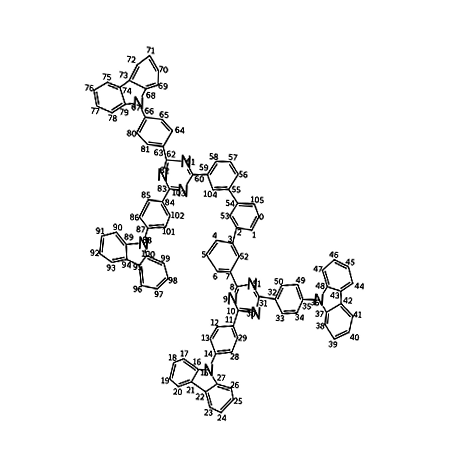 c1cc(-c2cccc(-c3nc(-c4ccc(-n5c6ccccc6c6ccccc65)cc4)nc(-c4ccc(-n5c6ccccc6c6ccccc65)cc4)n3)c2)cc(-c2cccc(-c3nc(-c4ccc(-n5c6ccccc6c6ccccc65)cc4)nc(-c4ccc(-n5c6ccccc6c6ccccc65)cc4)n3)c2)c1